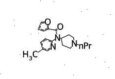 C[CH]CN1CCC(N(C(=O)c2ccco2)c2ccc(C)cn2)CC1